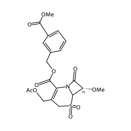 COC(=O)c1cccc(COC(=O)C2=C(COC(C)=O)CS(=O)(=O)C3[C@@H](OC)C(=O)N23)c1